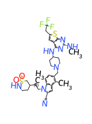 CNc1nc(NC2CCN(Cc3ccc4c(cc(C#N)n4C[C@H](C)C4CCNS(=O)(=O)C4)c3C)CC2)c2cc(CC(F)(F)F)sc2n1